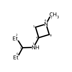 CCC(CC)NC1CN(C)C1